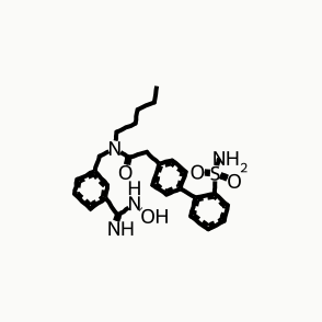 CCCCCN(Cc1cccc(C(=N)NO)c1)C(=O)Cc1ccc(-c2ccccc2S(N)(=O)=O)cc1